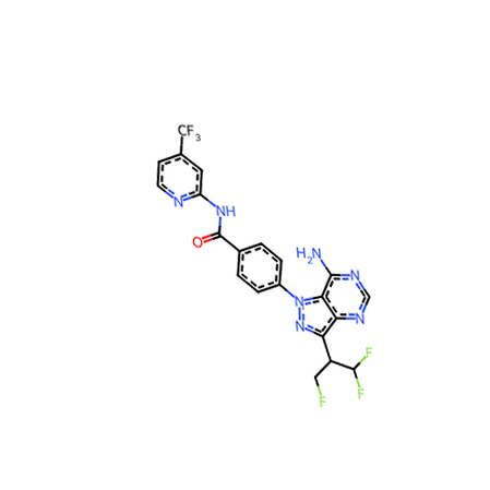 Nc1ncnc2c(C(CF)C(F)F)nn(-c3ccc(C(=O)Nc4cc(C(F)(F)F)ccn4)cc3)c12